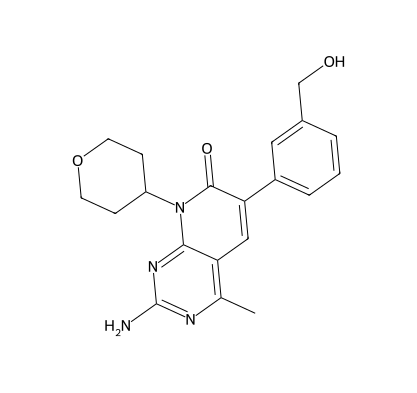 Cc1nc(N)nc2c1cc(-c1cccc(CO)c1)c(=O)n2C1CCOCC1